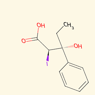 CC[C@@](O)(c1ccccc1)[C@@H](I)C(=O)O